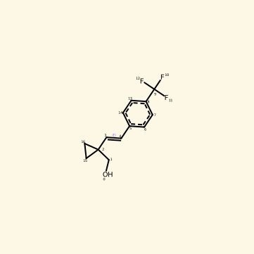 OCC1(/C=C/c2ccc(C(F)(F)F)cc2)CC1